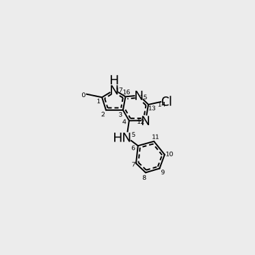 Cc1cc2c(Nc3ccccc3)nc(Cl)nc2[nH]1